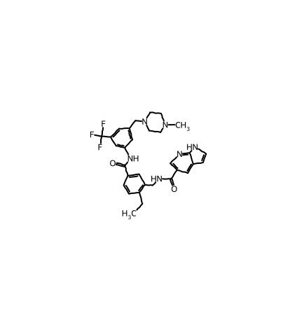 CCc1ccc(C(=O)Nc2cc(CN3CCN(C)CC3)cc(C(F)(F)F)c2)cc1CNC(=O)c1cnc2[nH]ccc2c1